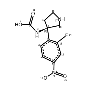 O=C(O)N[C@@]1(c2ccc([N+](=O)[O-])cc2F)CCNC1